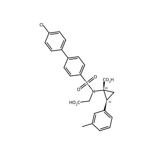 Cc1cccc([C@@H]2C[C@@]2(C(=O)O)N(CC(=O)O)S(=O)(=O)c2ccc(-c3ccc(Cl)cc3)cc2)c1